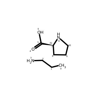 CCCN.O=C(O)[C@@H]1CCCN1